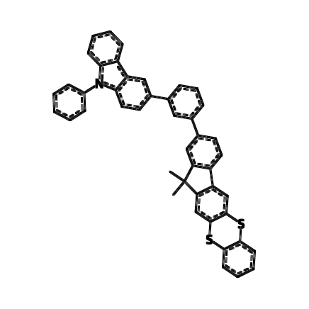 CC1(C)c2cc(-c3cccc(-c4ccc5c(c4)c4ccccc4n5-c4ccccc4)c3)ccc2-c2cc3c(cc21)Sc1ccccc1S3